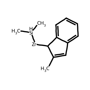 CC1=Cc2ccccc2[CH]1[Zr][SiH](C)C